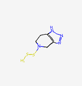 SSSN1CCc2[nH]nnc2C1